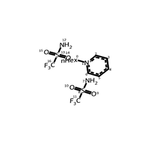 CCCCCC[n+]1ccccc1.NS(=O)(=O)C(F)(F)F.NS(=O)(=O)C(F)(F)F